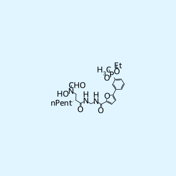 CCCCC[C@H](CN(O)C=O)C(=O)NCNC(=O)c1ccc(-c2cccc(P(C)(=O)OCC)c2)o1